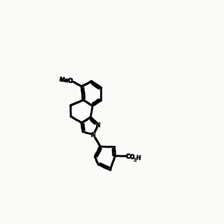 COc1cccc2c1CCc1cn(-c3cccc(C(=O)O)c3)nc1-2